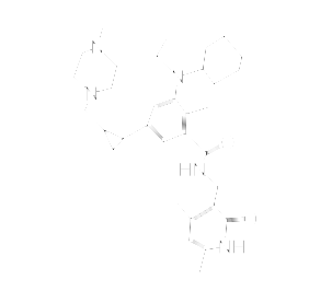 CCN(c1cc(C2CC2CN2CCN(C)CC2)cc(C(=O)NCc2c(C)cc(C)[nH]c2=O)c1C)C1CCCCC1